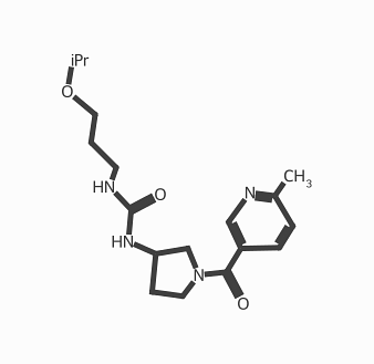 Cc1ccc(C(=O)N2CCC(NC(=O)NCCCOC(C)C)C2)cn1